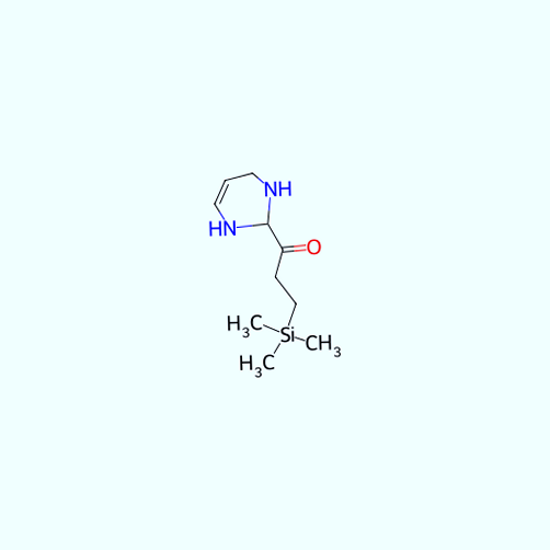 C[Si](C)(C)CCC(=O)C1NC=CCN1